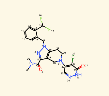 CN(C)C(=O)c1nn(Cc2ccccc2C(F)F)c2c1CN(c1cn[nH]c(=O)c1Cl)CC2